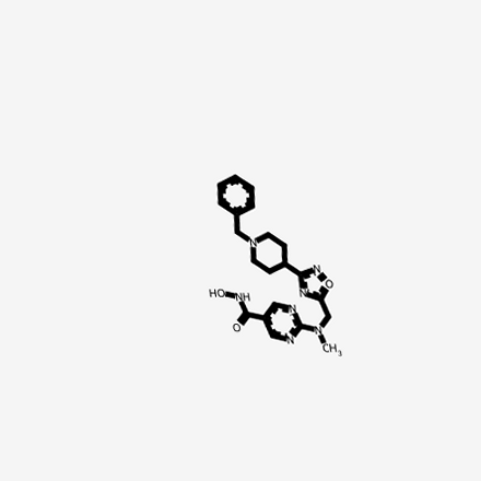 CN(Cc1nc(C2CCN(Cc3ccccc3)CC2)no1)c1ncc(C(=O)NO)cn1